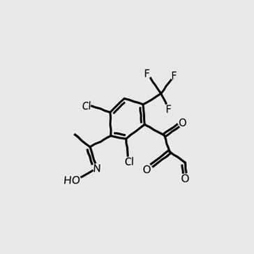 CC(=NO)c1c(Cl)cc(C(F)(F)F)c(C(=O)C(=O)C=O)c1Cl